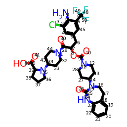 Nc1c(Cl)cc(CC(OC(=O)N2CCC(N3CCc4ccccc4NC3=O)CC2)C(=O)N2CCC(N3CCCC3C(=O)O)CC2)cc1C(F)(F)F